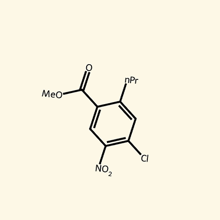 CCCc1cc(Cl)c([N+](=O)[O-])cc1C(=O)OC